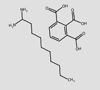 CCCCCCCCCC(N)N.O=C(O)c1cccc(C(=O)O)c1C(=O)O